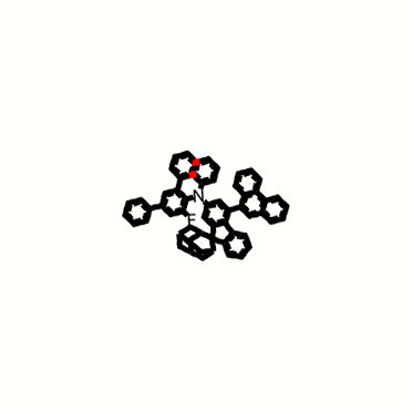 Fc1cc(-c2ccccc2)cc(-c2ccccc2)c1N(c1ccccc1)c1cc(-c2cc3ccccc3c3ccccc23)c2c(c1)C1(c3ccccc3-2)C2CC3CC(C2)CC1C3